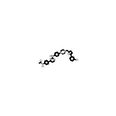 CC(=O)Nc1ccc(-c2ccnc(Nc3ccc(N4CCN(Cc5ccc(-c6cccc(Cl)c6)o5)CC4)cc3)n2)cc1